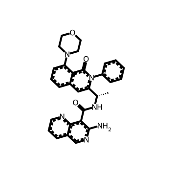 C[C@H](NC(=O)c1c(N)ncc2cccnc12)c1cc2cccc(N3CCOCC3)c2c(=O)n1-c1ccccc1